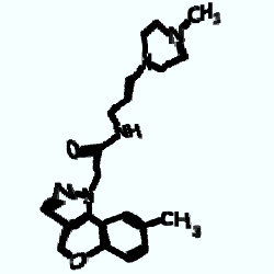 Cc1ccc2c(c1)-c1c(cnn1CC(=O)NCCCN1CCN(C)CC1)CO2